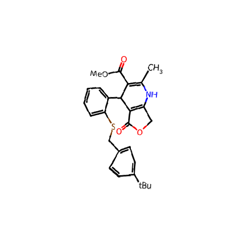 COC(=O)C1=C(C)NC2=C(C(=O)OC2)C1c1ccccc1SCc1ccc(C(C)(C)C)cc1